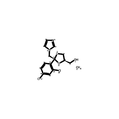 C.OC[C@@H]1CO[C@@](Cn2ccnc2)(c2ccc(Cl)cc2Cl)O1